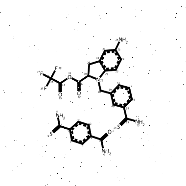 NC(=O)c1ccc(C(N)=S)cc1.NC(=S)c1cccc(CN2c3ccc(N)cc3CC2C(=O)OC(=O)C(F)(F)F)c1